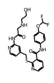 O=C(CNCCO)Nc1cc(CSc2ncccc2C(=O)Nc2ccc(OC(F)F)cc2)ccn1